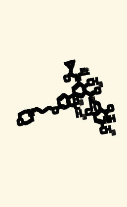 CCN(C(=O)C1CC1)c1cc(-c2ccc(OCCCN3CCOCC3)cc2C)cc(C(=O)NCc2c(C)cc(C)[nH]c2=O)c1C